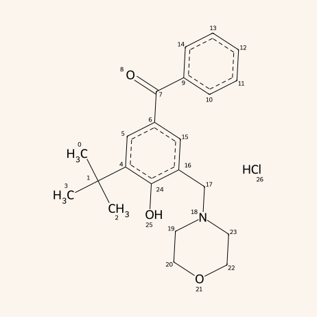 CC(C)(C)c1cc(C(=O)c2ccccc2)cc(CN2CCOCC2)c1O.Cl